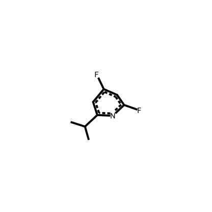 CC(C)c1cc(F)cc(F)n1